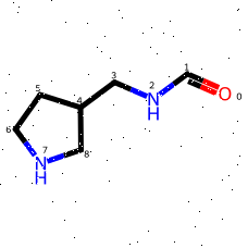 O=CNCC1CCNC1